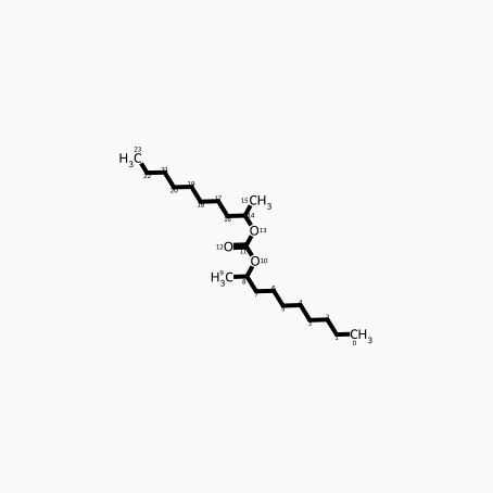 CCCCCCCCC(C)OC(=O)OC(C)CCCCCCCC